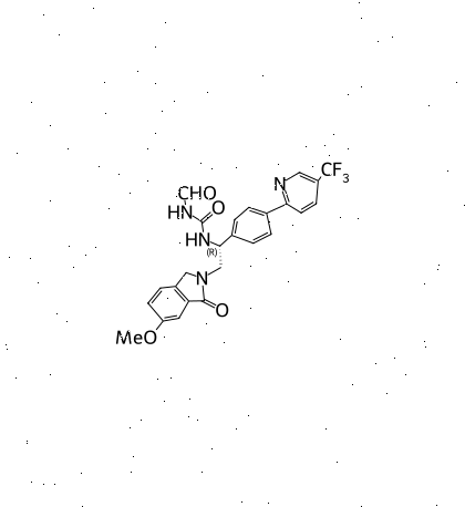 COc1ccc2c(c1)C(=O)N(C[C@H](NC(=O)NC=O)c1ccc(-c3ccc(C(F)(F)F)cn3)cc1)C2